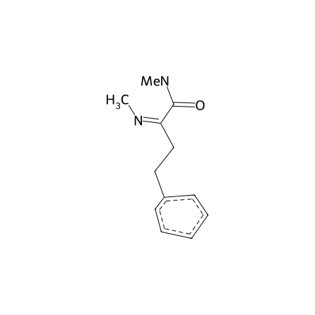 CN=C(CCc1ccccc1)C(=O)NC